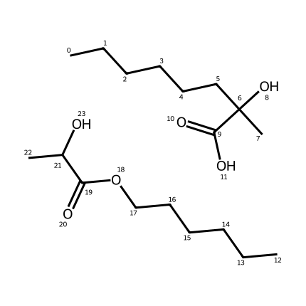 CCCCCCC(C)(O)C(=O)O.CCCCCCOC(=O)C(C)O